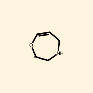 [C]1CNCC=CO1